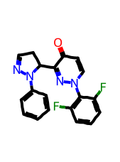 O=c1ccn(-c2c(F)cccc2F)nc1C1CC=NN1c1ccccc1